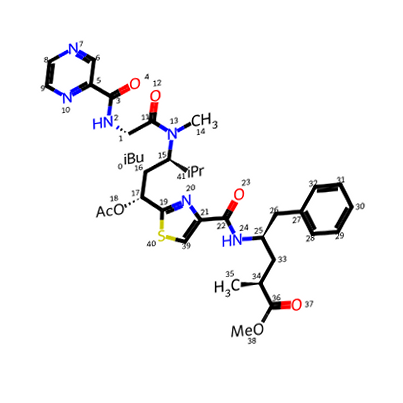 CC[C@H](C)[C@H](NC(=O)c1cnccn1)C(=O)N(C)[C@H](C[C@@H](OC(C)=O)c1nc(C(=O)N[C@@H](Cc2ccccc2)C[C@H](C)C(=O)OC)cs1)C(C)C